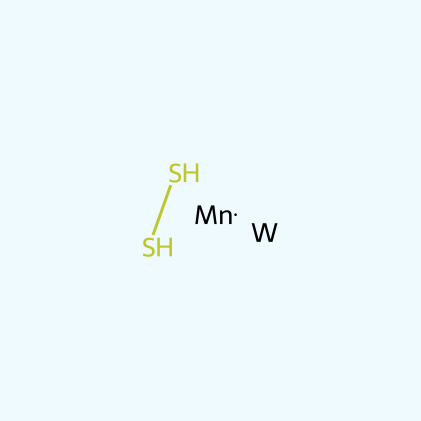 SS.[Mn].[W]